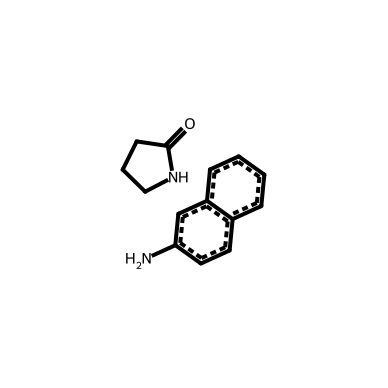 Nc1ccc2ccccc2c1.O=C1CCCN1